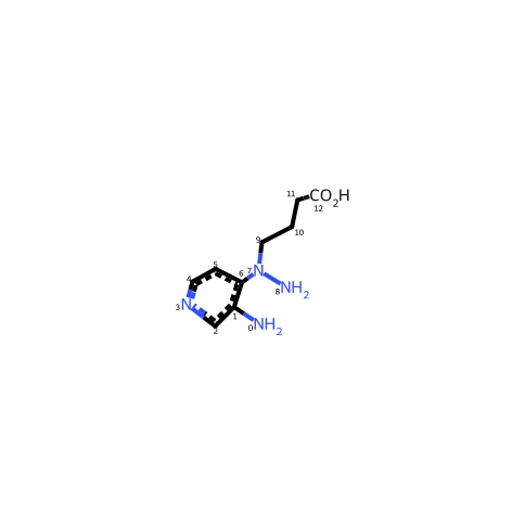 Nc1cnccc1N(N)CCCC(=O)O